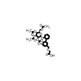 CC(=O)OC[C@H]1O[C@H](Oc2ccccc2-c2cccc(COCC(=O)O)c2)[C@@H](OC(C)=O)[C@@H](OC(C)=O)[C@@H]1OC(C)=O